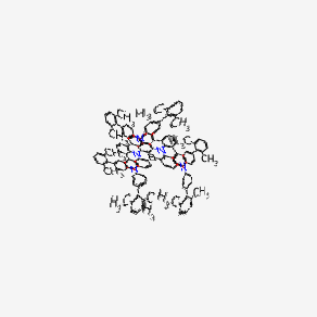 Cc1cccc(C)c1-c1ccc(N(c2ccc(-c3c(C)cccc3C)cc2)c2ccc3c(c2)N(c2c(-c4ccccc4)cccc2-c2ccccc2)c2cc(N(c4ccc(-c5c(C)cccc5C)cc4)c4ccc(-c5c(C)cccc5C)cc4)cc4c2B3c2ccc(N(c3ccc(-c5c(C)cccc5C)cc3)c3ccc(-c5c(C)cccc5C)cc3)cc2N4c2c(-c3ccccc3)cccc2-c2ccccc2)cc1